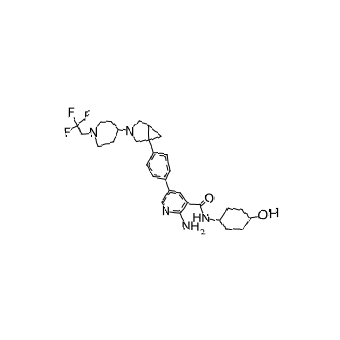 Nc1ncc(-c2ccc(C34CC3CN(C3CCN(CC(F)(F)F)CC3)C4)cc2)cc1C(=O)NC1CCC(O)CC1